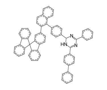 c1ccc(C2=NC(c3ccc(-c4c(-c5ccc6c(c5)C5(c7ccccc7-c7ccccc75)c5ccccc5-6)ccc5ccccc45)cc3)NC(c3ccc(-c4ccccc4)cc3)=N2)cc1